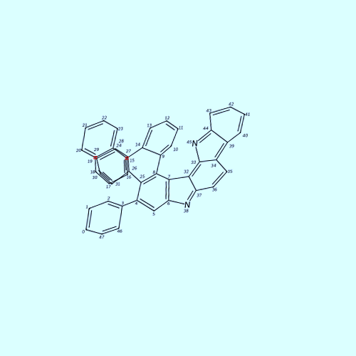 c1ccc(-c2cc3c(c(-c4ccccc4-c4cccc5ccccc45)c2-c2ccccc2)-c2c4c(ccc2=N3)=c2ccccc2=N4)cc1